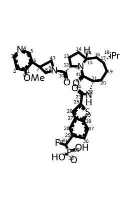 COc1ccncc1C1CN(C(=O)[C@@H]2CC[C@@H]3C[C@H](C(C)C)CC[C@H](NC(=O)c4cc5cc(C(F)P(=O)(O)O)ccc5s4)C(=O)N32)C1